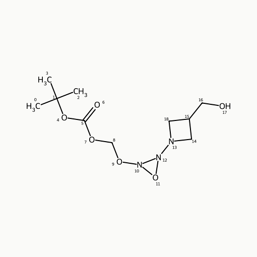 CC(C)(C)OC(=O)OCOn1on1N1CC(CO)C1